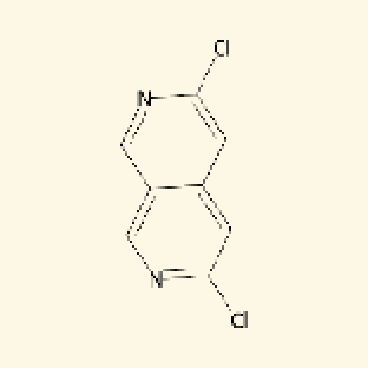 Clc1cc2cc(Cl)ncc2cn1